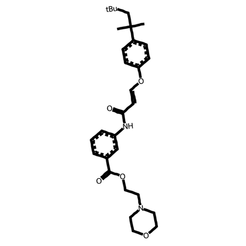 CC(C)(C)CC(C)(C)c1ccc(OC=CC(=O)Nc2cccc(C(=O)OCCN3CCOCC3)c2)cc1